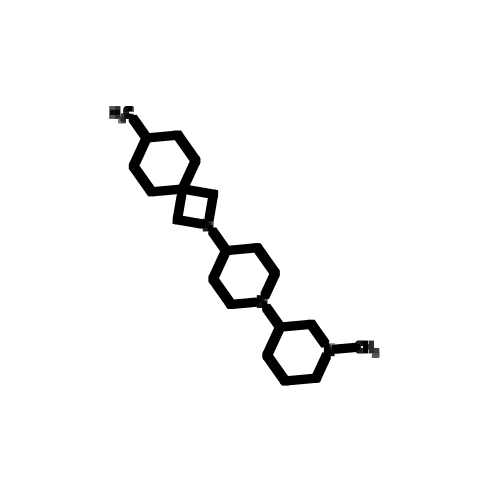 CC1CCC2(CC1)CN(C1CCN(C3CCCN(C)C3)CC1)C2